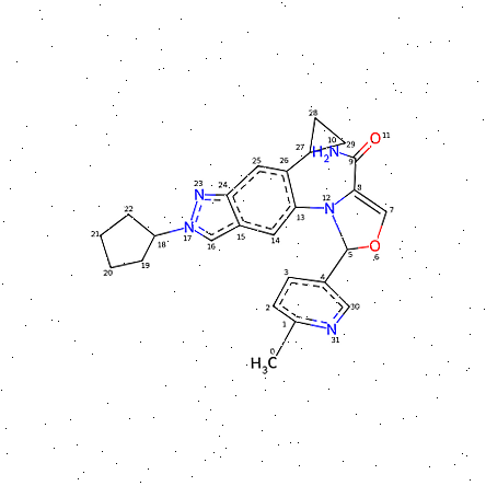 Cc1ccc(C2OC=C(C(N)=O)N2c2cc3cn(C4CCCC4)nc3cc2C2CC2)cn1